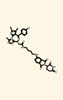 Cc1sc2c(c1C)C(c1ccc(Cl)cc1)=N[C@@H](CC(=O)NCCCCNc1ccc3c(c1)C(=O)N(C1CCC(=O)NC1=O)C3=O)c1nnc(C)n1-2